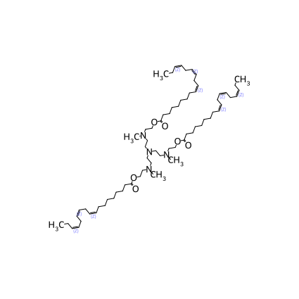 CC/C=C\C/C=C\C/C=C\CCCCCCCC(=O)OCCN(C)CCN(CCN(C)CCOC(=O)CCCCCCC/C=C\C/C=C\C/C=C\CC)CCN(C)CCOC(=O)CCCCCCC/C=C\C/C=C\C/C=C\CC